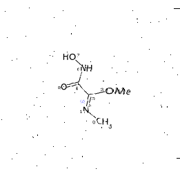 C/N=C(\OC)C(=O)NO